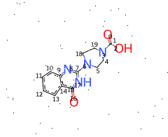 O=C(O)N1CCN(c2nc3ccccc3c(=O)[nH]2)CC1